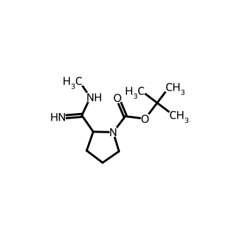 CNC(=N)C1CCCN1C(=O)OC(C)(C)C